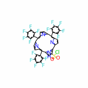 O=S(=O)(Cl)c1cc2[nH]c1C1=NC(=C(c3c(F)c(F)c(F)c(F)c3F)C3=NC(=C(c4c(F)c(F)c(F)c(F)c4F)C4=NC(=C2c2c(F)c(F)c(F)c(F)c2F)C=C4)C=C3)C=C1